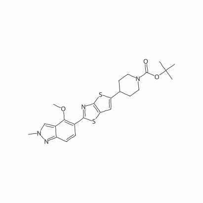 COc1c(-c2nc3sc(C4CCN(C(=O)OC(C)(C)C)CC4)cc3s2)ccc2nn(C)cc12